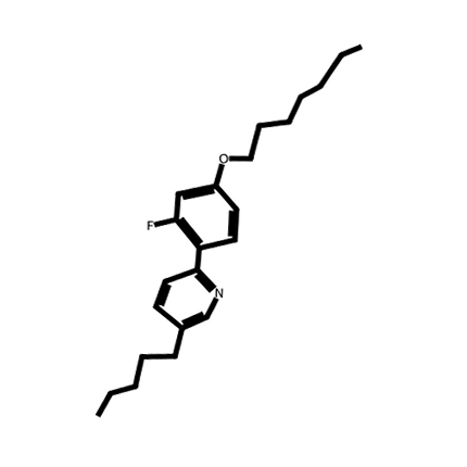 CCCCCCCOc1ccc(-c2ccc(CCCCC)cn2)c(F)c1